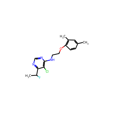 Cc1ccc(OCCNc2ncnc(C(C)F)c2Cl)c(C)c1